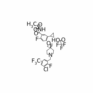 CS(=O)(=O)NC(=O)c1cc(C2CC2)c(OCC2(F)CCN(Cc3cc(C(F)(F)F)cc(Cl)c3F)CC2)cc1F.O=C(O)C(F)(F)F